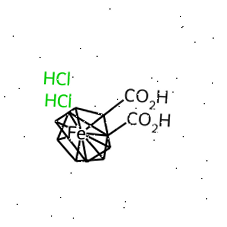 Cl.Cl.O=C(O)[C]12[CH]3[CH]4[CH]5[CH]1[Fe]45321678[CH]2[CH]1[CH]6[C]7(C(=O)O)[CH]28